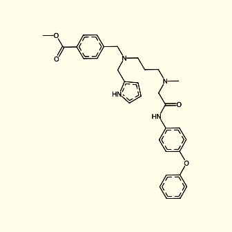 COC(=O)c1ccc(CN(CCCN(C)CC(=O)Nc2ccc(Oc3ccccc3)cc2)Cc2ccc[nH]2)cc1